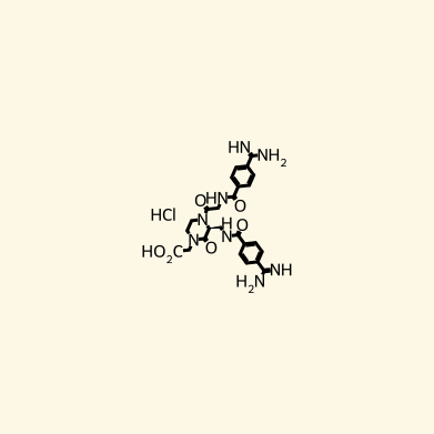 Cl.N=C(N)c1ccc(C(=O)NCC(=O)N2CCN(CC(=O)O)C(=O)[C@@H]2CNC(=O)c2ccc(C(=N)N)cc2)cc1